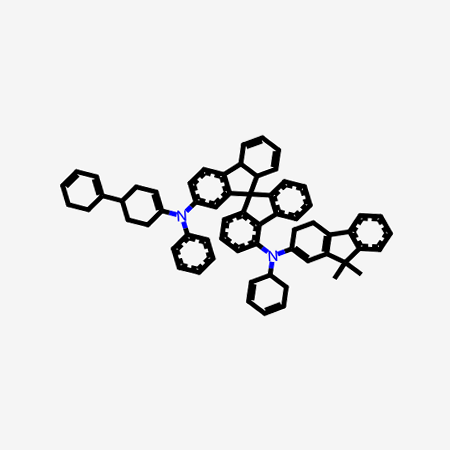 CC1(C)C2=C(CCC(N(c3cccc4c3-c3ccccc3C43c4cc(N(C5=CCC(C6=CC=CCC6)CC5)c5ccccc5)ccc4C4C=CC=CC43)C3C=CC=CC3)=C2)c2ccccc21